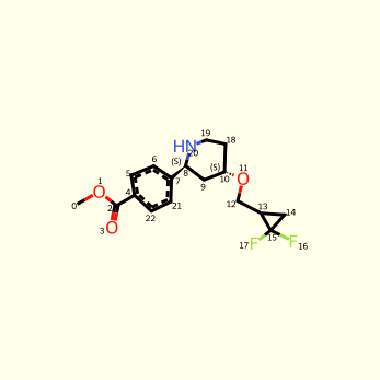 COC(=O)c1ccc([C@@H]2C[C@@H](OCC3CC3(F)F)CCN2)cc1